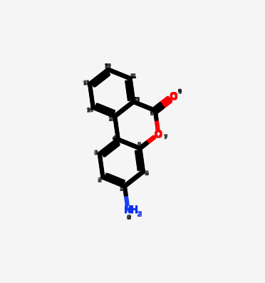 Nc1ccc2c(c1)oc(=O)c1ccccc12